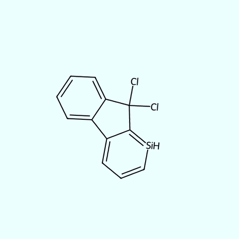 ClC1(Cl)c2ccccc2-c2ccc[siH]c21